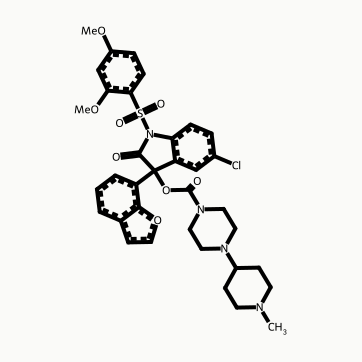 COc1ccc(S(=O)(=O)N2C(=O)C(OC(=O)N3CCN(C4CCN(C)CC4)CC3)(c3cccc4ccoc34)c3cc(Cl)ccc32)c(OC)c1